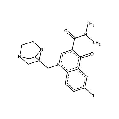 CN(C)C(=O)c1cn(CC2CN3CCN2CC3)c2ccc(I)cc2c1=O